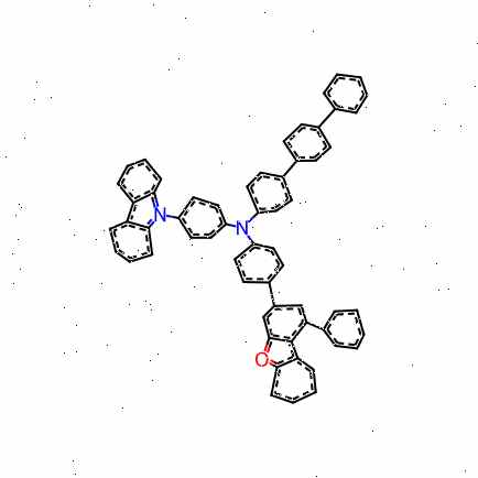 c1ccc(-c2ccc(-c3ccc(N(c4ccc(-c5cc(-c6ccccc6)c6c(c5)oc5ccccc56)cc4)c4ccc(-n5c6ccccc6c6ccccc65)cc4)cc3)cc2)cc1